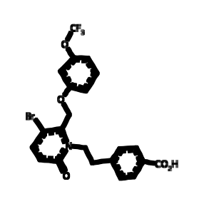 O=C(O)c1ccc(CCn2c(COc3cccc(OC(F)(F)F)c3)c(Br)ccc2=O)cc1